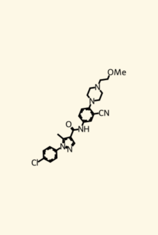 COCCN1CCN(c2ccc(NC(=O)c3cnn(-c4ccc(Cl)cc4)c3C)cc2C#N)CC1